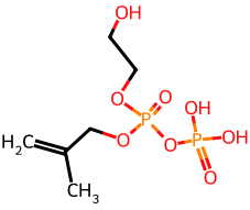 C=C(C)COP(=O)(OCCO)OP(=O)(O)O